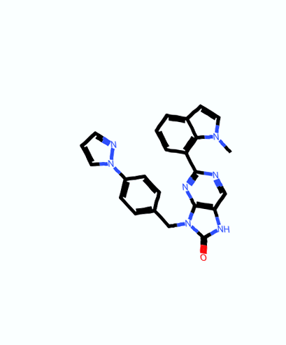 Cn1ccc2cccc(-c3ncc4[nH]c(=O)n(Cc5ccc(-n6cccn6)cc5)c4n3)c21